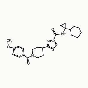 O=C(NC1(C2CCCCC2)CC1)c1csc(C2CCN(C(=O)c3ccc(OC(F)(F)F)cc3)CC2)n1